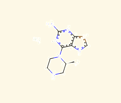 CC(C)[C@H]1CNCCN1c1nc(N)nc2scnc12.Cl